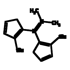 C[Si](C)=[Zr]([C]1=C(C(C)(C)C)C=CC1)[C]1=C(C(C)(C)C)C=CC1